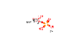 O.O.O=P(O)(O)O.[CaH2].[Fe].[MgH2].[Mn]